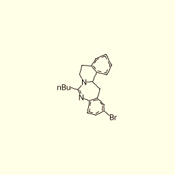 CCCCC1=Nc2ccc(Br)cc2CC2c3ccccc3CCN12